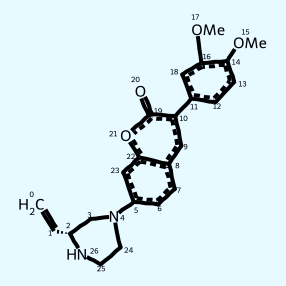 C=C[C@@H]1CN(c2ccc3cc(-c4ccc(OC)c(OC)c4)c(=O)oc3c2)CCN1